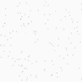 CC(C)(C)C(=O)O.CN=[N+]=[N-]